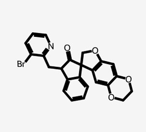 O=C1C(Cc2ncccc2Br)c2ccccc2C12COc1cc3c(cc12)OCCO3